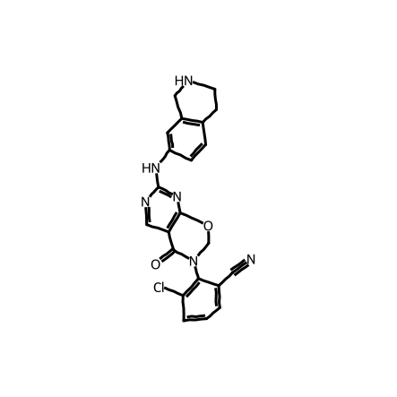 N#Cc1cccc(Cl)c1N1COc2nc(Nc3ccc4c(c3)CNCC4)ncc2C1=O